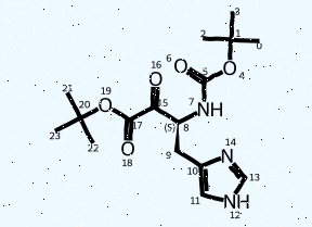 CC(C)(C)OC(=O)N[C@@H](Cc1c[nH]cn1)C(=O)C(=O)OC(C)(C)C